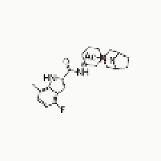 CC(=O)N1CC2CCC(C1)N2[C@H]1CCC[C@@H](NC(=O)c2cc3c(F)ccc(C)c3[nH]2)C1